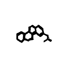 CN(C)Cc1ccc2ccc3c(c2c1)CCC1=C3C=CCC1